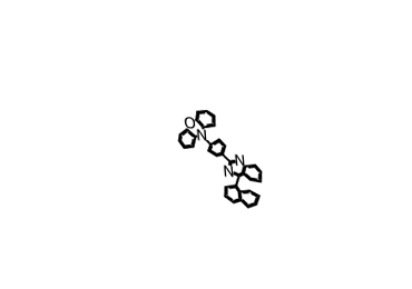 c1ccc2c(c1)Oc1ccccc1N2c1ccc(-c2nc(-c3cccc4ccccc34)c3ccccc3n2)cc1